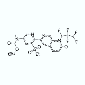 CCS(=O)(=O)c1cc(N(C)C(=O)OC(C)(C)C)cnc1-c1cc2ccc(=O)n(C(F)C(F)(F)C(F)F)c2cn1